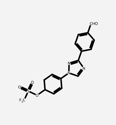 O=Cc1ccc(-c2ncn(C3=CCC(OS(=O)(=O)C(F)(F)F)C=C3)n2)cc1